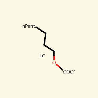 CCCCCCCCOC(=O)[O-].[Li+]